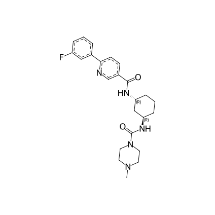 CN1CCN(C(=O)N[C@@H]2CCC[C@@H](NC(=O)c3ccc(-c4cccc(F)c4)nc3)C2)CC1